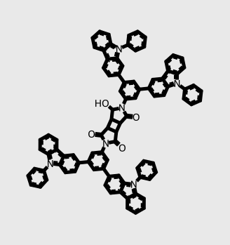 O=C1C2C(C(=O)N1c1cc(-c3ccc4c(c3)c3ccccc3n4-c3ccccc3)cc(-c3ccc4c5ccccc5n(-c5ccccc5)c4c3)c1)C1C2C(=O)N(c2cc(-c3ccc4c(c3)c3ccccc3n4-c3ccccc3)cc(-c3ccc4c5ccccc5n(-c5ccccc5)c4c3)c2)C1O